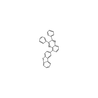 c1ccc(-c2nc3cccc(-c4ccc5sc6ccccc6c5c4)c3nc2-c2ccccc2)cc1